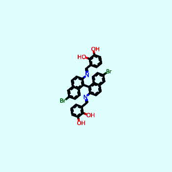 Oc1cccc(/C=N/c2ccc3cc(Br)ccc3c2-c2c(/N=C/c3cccc(O)c3O)ccc3cc(Br)ccc23)c1O